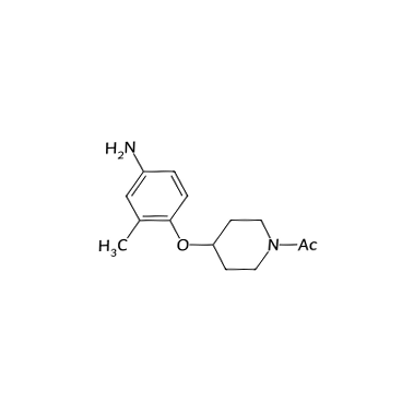 CC(=O)N1CCC(Oc2ccc(N)cc2C)CC1